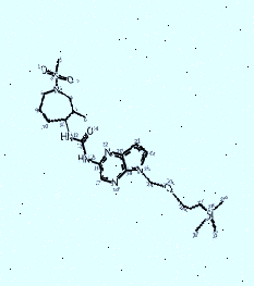 CC1CN(S(C)(=O)=O)CCCC1NC(=O)Nc1cnc2c(ccn2COCC[Si](C)(C)C)n1